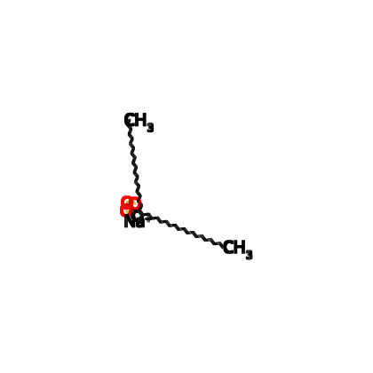 CCCCCCCCCCCCCCCCCCCc1cccc(S(=O)(=O)[O-])c1CCCCCCCCCCCCCCCCCCC.[Na+]